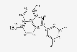 Cc1cc(C)cc(C2=Nc3c(C)ccc4c(C(C)(C)C)ccc2c34)c1